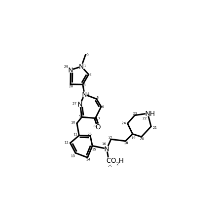 Cn1cc(-n2ccc(=O)c(Cc3cccc(N(CCC4CCNCC4)C(=O)O)c3)n2)cn1